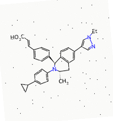 CCn1cc(-c2ccc3c(c2)C[C@H](C)N(c2ccc(C4CC4)cc2)[C@H]3c2ccc(/C=C/C(=O)O)cc2)cn1